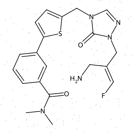 CN(C)C(=O)c1cccc(-c2ccc(Cn3cnn(C/C(=C/F)CN)c3=O)s2)c1